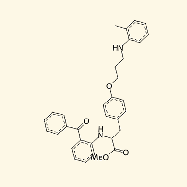 COC(=O)C(Cc1ccc(OCCCNc2ccccc2C)cc1)Nc1ccccc1C(=O)c1ccccc1